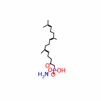 CC(C)=CCCC(C)=CCCC(C)=CCCC(=O)CP(=O)(O)ON